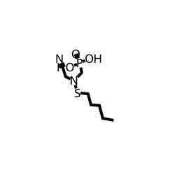 CCCCCSN(CC#N)CP(=O)(O)O